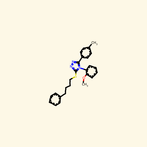 COc1ccccc1-n1c(SCCCCc2ccccc2)nnc1-c1ccc(C)cc1